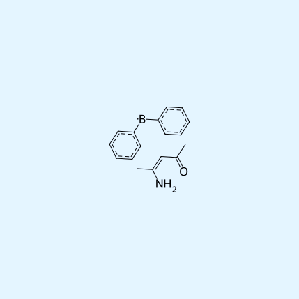 CC(=O)C=C(C)N.[B](c1ccccc1)c1ccccc1